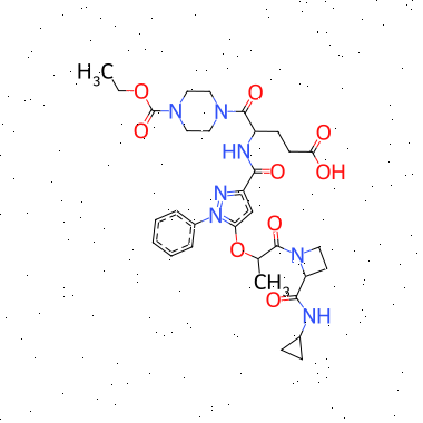 CCOC(=O)N1CCN(C(=O)C(CCC(=O)O)NC(=O)c2cc(OC(C)C(=O)N3CCC3C(=O)NC3CC3)n(-c3ccccc3)n2)CC1